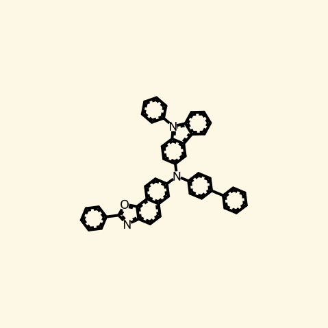 c1ccc(-c2ccc(N(c3ccc4c(ccc5nc(-c6ccccc6)oc54)c3)c3ccc4c(c3)c3ccccc3n4-c3ccccc3)cc2)cc1